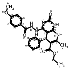 CCOC(=O)C1=C(C)Nc2[nH]c(=O)nc(NNC(=O)c3ccc(OC)cc3)c2[C@@H]1c1ccccc1